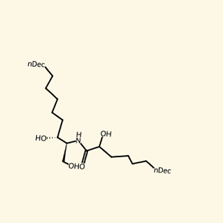 CCCCCCCCCCCCCCC[C@@H](O)[C@H](CO)NC(=O)C(O)CCCCCCCCCCCCCC